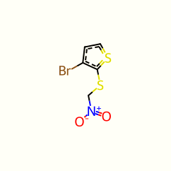 O=[N+]([O-])CSc1sccc1Br